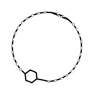 C1COCCOC2CCC(CC2)OCCOCCOCCOCCOC2CCC(CC2)OCCOCCO1